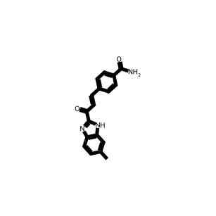 Cc1ccc2nc(C(=O)C=Cc3ccc(C(N)=O)cc3)[nH]c2c1